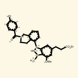 CCOC(=O)CCc1cc(OC)c2c(c1)N(c1cccc3c1CCN(C(=O)c1ccc(CC)cc1)C3)NN2C